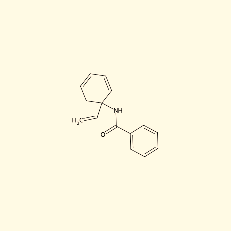 C=CC1(NC(=O)c2ccccc2)C=CC=CC1